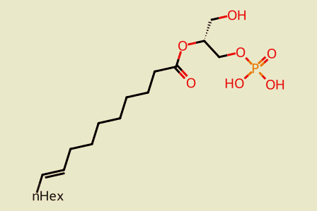 CCCCCCC=CCCCCCCCC(=O)O[C@H](CO)COP(=O)(O)O